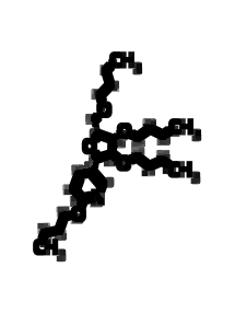 CCCCOC[C@H]1O[C@@H](c2ccc(OCCCC)nc2)C(OCCCC)[C@H]1OCCCC